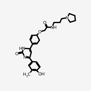 Cc1cc(-c2cc(C3=CCC(OCC(=O)NCCCN4CCCC4)C=C3)[nH]c(=O)n2)ccc1O